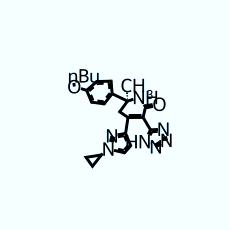 CCCCOc1ccc([C@]2(C)CC(c3ccn(C4CC4)n3)=C(c3nnn[nH]3)C(=O)N2)cc1